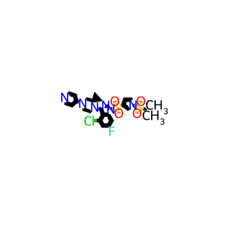 CC(C)S(=O)(=O)n1ccc(S(=O)(=O)n2nc(N3CCN(c4ccncc4)CC34CC4)c3c(Cl)cc(F)cc32)c1